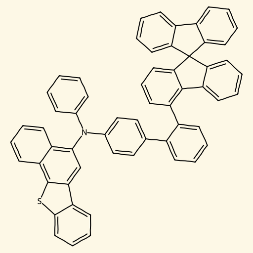 c1ccc(N(c2ccc(-c3ccccc3-c3cccc4c3-c3ccccc3C43c4ccccc4-c4ccccc43)cc2)c2cc3c4ccccc4sc3c3ccccc23)cc1